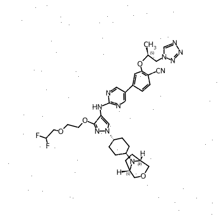 C[C@@H](Cn1cnnn1)Oc1cc(-c2cnc(Nc3cn([C@H]4CC[C@H](N5[C@@H]6CC[C@H]5COC6)CC4)nc3OCCOCC(F)F)nc2)ccc1C#N